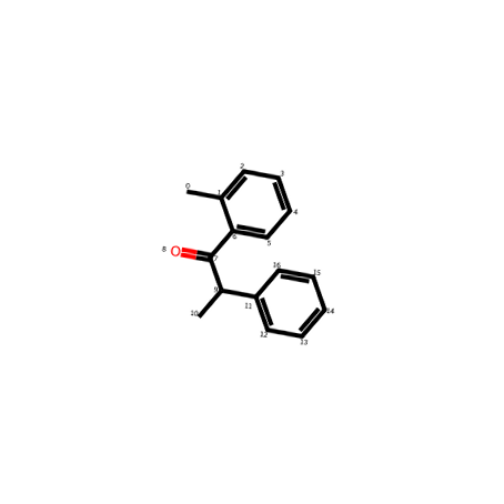 Cc1ccccc1C(=O)C(C)c1ccccc1